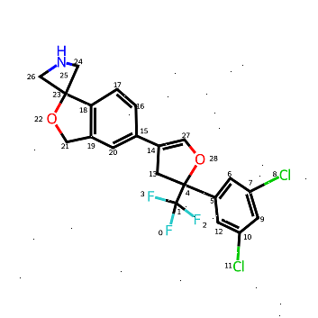 FC(F)(F)C1(c2cc(Cl)cc(Cl)c2)CC(c2ccc3c(c2)COC32CNC2)=CO1